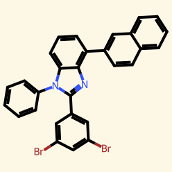 Brc1cc(Br)cc(-c2nc3c(-c4ccc5ccccc5c4)cccc3n2-c2ccccc2)c1